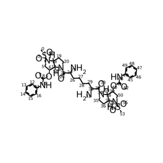 CS(=O)(=O)N1C[C@H](OC(=O)Nc2ccccc2)[C@@H]2[C@H]1CCN2C(=O)C(N)CCCCC(N)C(=O)N1CC[C@@H]2[C@H]1[C@@H](OC(=O)Nc1ccccc1)CN2S(C)(=O)=O